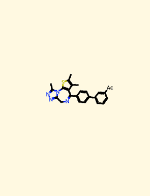 CC(=O)c1cccc(-c2ccc(C3=NCc4nnc(C)n4-c4sc(C)c(C)c43)cc2)c1